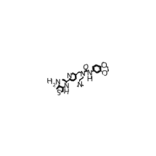 C=C(Nc1cscc1N)c1ccc(CN(CCN(C)C)C(=O)Nc2ccc3c(c2)OCCO3)cn1